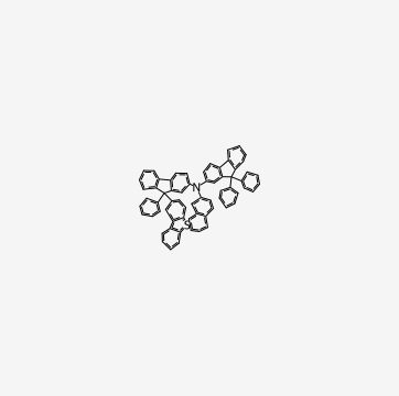 c1ccc(C2(c3ccccc3)c3ccccc3-c3ccc(N(c4ccc5c(c4)C(c4ccccc4)(c4ccc6sc7ccccc7c6c4)c4ccccc4-5)c4ccc5ccccc5c4)cc32)cc1